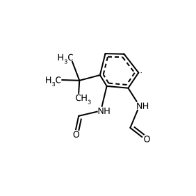 CC(C)(C)c1cc[c]c(NC=O)c1NC=O